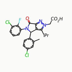 Cc1cc(Cl)ccc1C1c2c(nn(CC(=O)O)c2C(C)C)C(=O)N1c1cccc(Cl)c1F